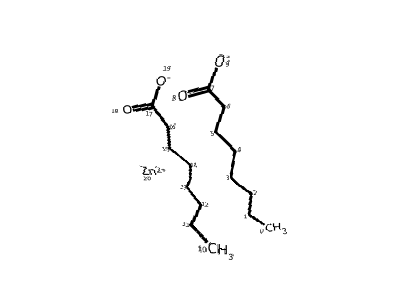 CCCCCCCC(=O)[O-].CCCCCCCC(=O)[O-].[Zn+2]